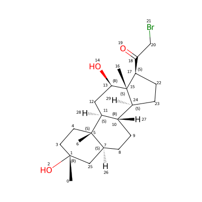 C[C@@]1(O)CC[C@@]2(C)[C@@H](CC[C@@H]3[C@@H]2C[C@@H](O)[C@]2(C)[C@@H](C(=O)CBr)CC[C@@H]32)C1